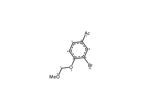 COCOc1ccc(C(C)=O)cc1Br